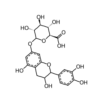 O=C(O)[C@H]1OC(Oc2cc(O)c3c(c2)OC(c2ccc(O)c(O)c2)C(O)C3)[C@H](O)[C@@H](O)[C@@H]1O